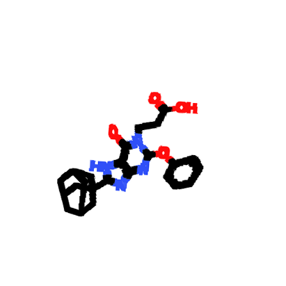 O=C(O)CCn1c(Oc2ccccc2)nc2nc(C34CC5CC(CC(C5)C3)C4)[nH]c2c1=O